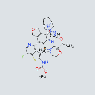 CC(Oc1nc(N2C3CCC2CN(C(=O)O)C3)c2c3c(c(-c4ncc(F)c5sc(NC(=O)OC(C)(C)C)c(C#N)c45)c(F)c2n1)COC3)[C@H]1CN(C)CCO1